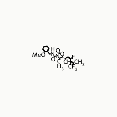 C=C(/C=C(F)\C=C(/C)C(F)(F)F)[C@H]1OC(=O)N(C(=O)NCc2ccccc2OC)[C@H]1C